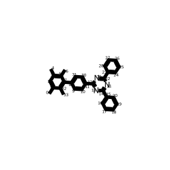 Cc1cc(C)c(C)c(-c2ccc(-c3nc(-c4ccccc4)nc(-c4ccccc4)n3)cc2)c1C